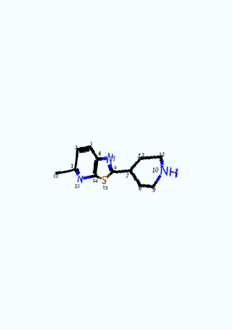 Cc1ccc2nc(C3CCNCC3)sc2n1